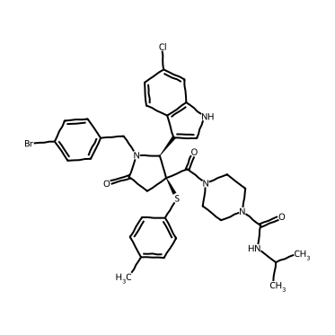 Cc1ccc(S[C@@]2(C(=O)N3CCN(C(=O)NC(C)C)CC3)CC(=O)N(Cc3ccc(Br)cc3)[C@H]2c2c[nH]c3cc(Cl)ccc23)cc1